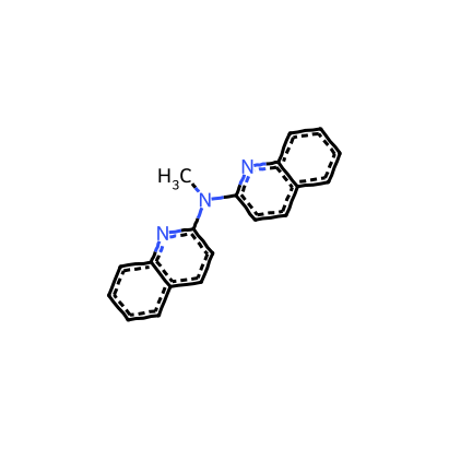 CN(c1ccc2ccccc2n1)c1ccc2ccccc2n1